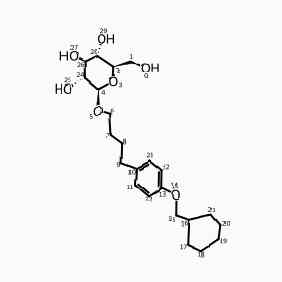 OC[C@H]1O[C@@H](OCCCCc2ccc(OCC3CCCCC3)cc2)[C@H](O)[C@@H](O)[C@@H]1O